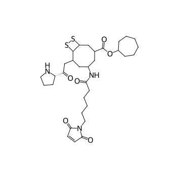 O=C(CCCCCN1C(=O)C=CC1=O)NC1CC(C(=O)OC2CCCCCC2)CC2SSC2C(CC(=O)[C@@H]2CCCN2)C1